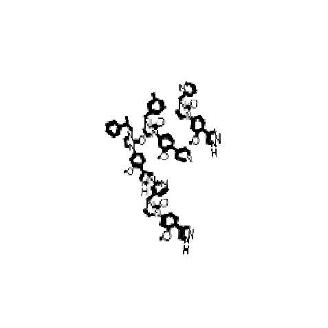 COc1cc(N2CCN(CC(C)c3ccccc3)C2=O)ccc1-c1cn[nH]c1.COc1cc(N2CCN(Cc3cccc(C)c3)C2=O)ccc1-c1ccncc1.COc1cc(N2CCN(Cc3ccccn3)C2=O)ccc1-c1cn[nH]c1.COc1cc(N2CCN(Cc3ccncc3)C2=O)ccc1-c1cn[nH]c1